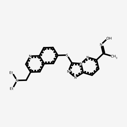 CCN(CC)Cc1cnc2ccc(Sc3nnc4ccc(C(C)=NO)nn34)cc2c1